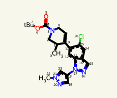 CC1CN(C(=O)OC(C)(C)C)CC=C1c1cc2c(cnn2-c2cnn(C)c2)cc1Cl